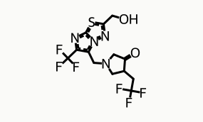 O=C1CN(Cc2c(C(F)(F)F)nc3sc(CO)nn23)CC1CC(F)(F)F